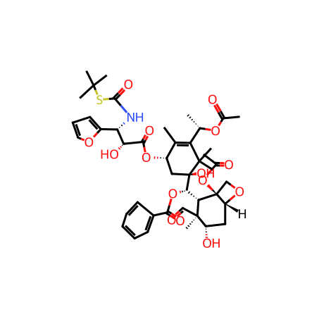 CC(=O)O[C@@H](C)C1=C(C)[C@@H](OC(=O)[C@H](O)[C@@H](NC(=O)SC(C)(C)C)c2ccco2)C[C@@](O)([C@@H](OC(=O)c2ccccc2)[C@H]2[C@](C)(C=O)[C@@H](O)C[C@H]3OC[C@]32OC(C)=O)C1(C)C